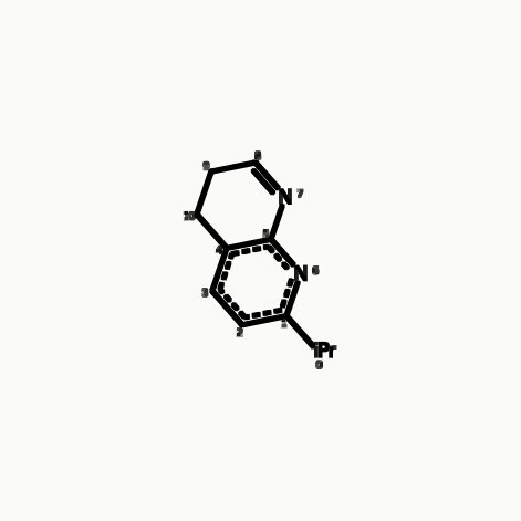 CC(C)c1ccc2c(n1)N=CCC2